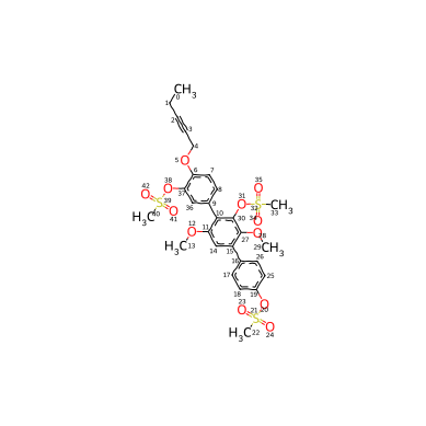 CCC#CCOc1ccc(-c2c(OC)cc(-c3ccc(OS(C)(=O)=O)cc3)c(OC)c2OS(C)(=O)=O)cc1OS(C)(=O)=O